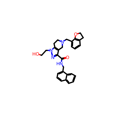 O=C(NCc1cccc2ccccc12)c1nn(CCO)c2c1CN(Cc1cccc3c1OCC3)CC2